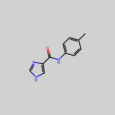 Cc1ccc(NC(=O)c2c[nH]cn2)cc1